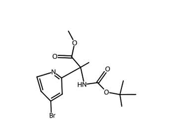 COC(=O)C(C)(NC(=O)OC(C)(C)C)c1cc(Br)ccn1